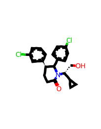 O=C1CC[C@H](c2cccc(Cl)c2)C(c2ccc(Cl)cc2)N1[C@H](CO)C1CC1